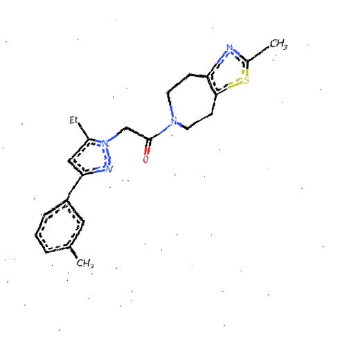 CCc1cc(-c2cccc(C)c2)nn1CC(=O)N1CCc2nc(C)sc2CC1